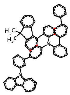 CC1(C)c2ccccc2-c2c(-c3ccccc3N(c3ccc(-c4cccc(-n5c6ccccc6c6ccccc65)c4)cc3)c3ccccc3-c3ccc(-c4ccccc4)cc3)cccc21